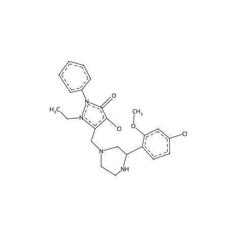 CCn1c(CN2CCNC(c3ccc(Cl)cc3OC)C2)c(Cl)c(=O)n1-c1ccccc1